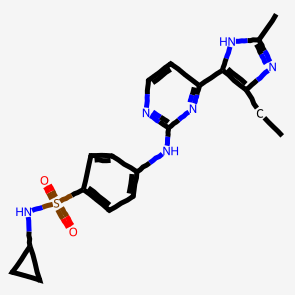 CCc1nc(C)[nH]c1-c1ccnc(Nc2ccc(S(=O)(=O)NC3CC3)cc2)n1